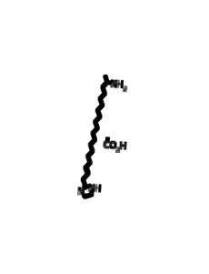 CC(=O)O.CC(N)CCCCCCCCCCCCCCC=CCC1=NCCN1